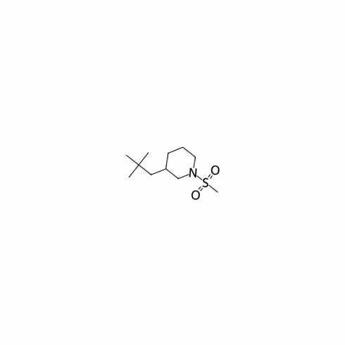 CC(C)(C)CC1CCCN(S(C)(=O)=O)C1